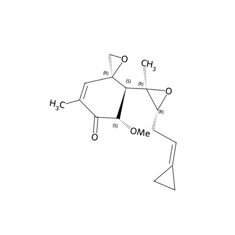 CO[C@@H]1C(=O)C(C)=C[C@]2(CO2)[C@H]1[C@@]1(C)O[C@@H]1CC=C1CC1